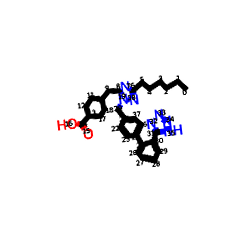 CCCCCCc1nc(CC2CCC(C(=O)O)CC2)n(Cc2ccc(-c3ccccc3-c3nnn[nH]3)cc2)n1